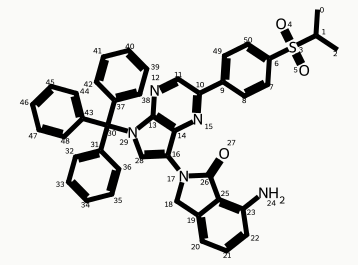 CC(C)S(=O)(=O)c1ccc(-c2cnc3c(n2)c(N2Cc4cccc(N)c4C2=O)cn3C(c2ccccc2)(c2ccccc2)c2ccccc2)cc1